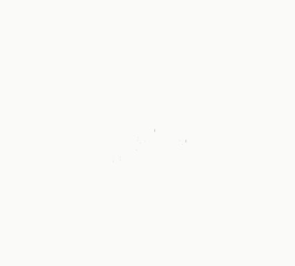 CC(C)CCCCOC(=O)C1CCCCC1C(=O)OCCCC(C)C